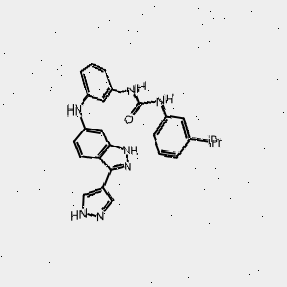 CC(C)c1cccc(NC(=O)Nc2cccc(Nc3ccc4c(-c5cn[nH]c5)n[nH]c4c3)c2)c1